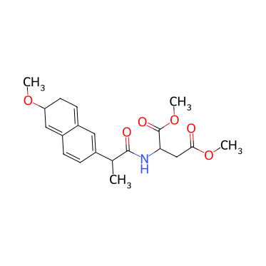 COC(=O)CC(NC(=O)C(C)c1ccc2c(c1)=CCC(OC)C=2)C(=O)OC